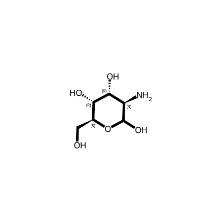 N[C@H]1C(O)O[C@@H](CO)[C@H](O)[C@@H]1O